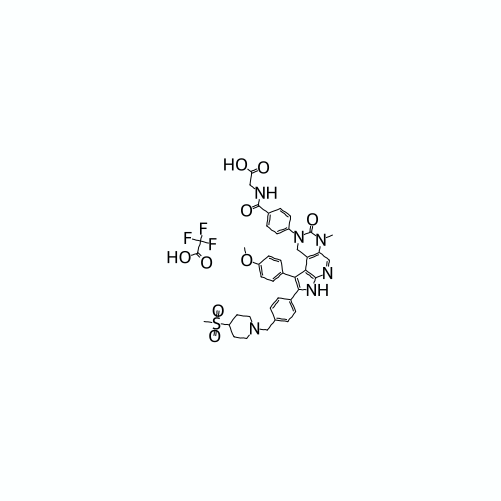 COc1ccc(-c2c(-c3ccc(CN4CCC(S(C)(=O)=O)CC4)cc3)[nH]c3ncc4c(c23)CN(c2ccc(C(=O)NCC(=O)O)cc2)C(=O)N4C)cc1.O=C(O)C(F)(F)F